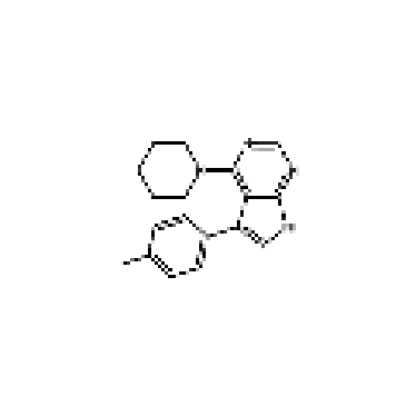 Fc1ccc(-c2c[nH]c3ncnc(N4CCCCC4)c23)cc1